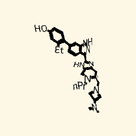 CCCN1Cc2[nH]c(-c3n[nH]c4cc(-c5ccc(O)cc5CC)ccc34)nc2C[C@H]1CN1CC(N(C)C)C1